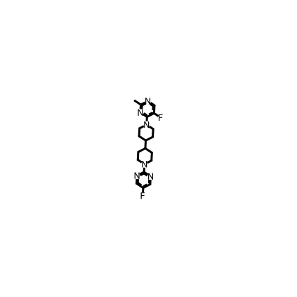 Cc1ncc(F)c(N2CCC(C3CCN(c4ncc(F)cn4)CC3)CC2)n1